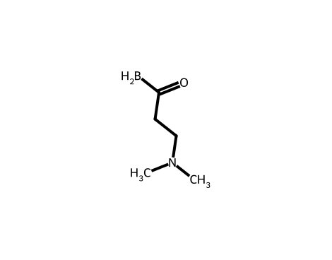 BC(=O)CCN(C)C